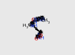 Cc1nn(CCCCC#Cc2cccc3c2CN(C2CCC(=O)NC2=O)C3=O)c2cc(C(=O)Nc3cc4[nH]c([C@H]5CCCN5C)cc4cn3)ccc12